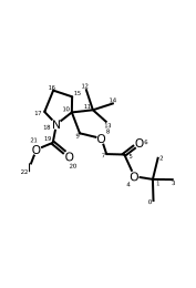 CC(C)(C)OC(=O)COCC1(C(C)(C)C)CCCN1C(=O)OI